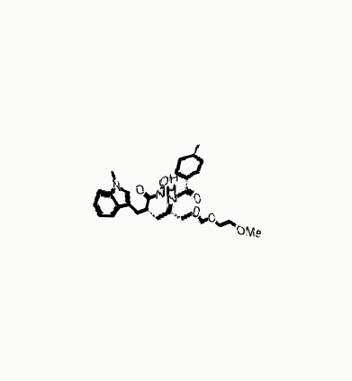 COCCOCOC[C@H](C[C@H](Cc1cn(C)c2ccccc12)C(=O)NO)NC(=O)[C@H]1CC[C@H](C)CC1